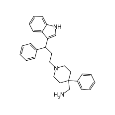 NCC1(c2ccccc2)CCN(CCC(c2ccccc2)c2c[nH]c3ccccc23)CC1